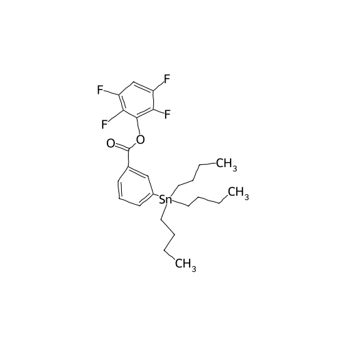 CCC[CH2][Sn]([CH2]CCC)([CH2]CCC)[c]1cccc(C(=O)Oc2c(F)c(F)cc(F)c2F)c1